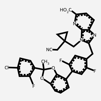 CC1(c2ccc(Cl)cc2F)Oc2cccc(-c3cc(F)c(Cc4nc5ccc(C(=O)O)nc5n4CC4(CC#N)CC4)cc3F)c2O1